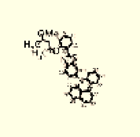 COC(C)CC(C)Oc1ccccc1-c1nc2ccc(N(c3ccccc3)c3cccc4ccccc34)cc2s1